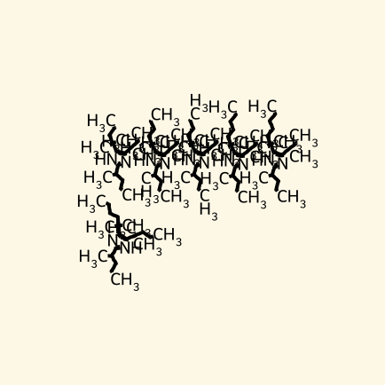 CCCC(C)c1nc(C(C)(C)CC)c(C(C)(C)CCC)[nH]1.CCCCC(C)(C)c1[nH]c(C(C)CCC)nc1C(C)(C)CC.CCCCC(C)(C)c1[nH]c(C(C)CCC)nc1C(C)(C)CC.CCCCC(C)(C)c1nc(C(C)CCC)[nH]c1C(C)(C)CCC.CCCCCC(C)(C)c1[nH]c(C(C)CCC)nc1C(C)(C)CC.CCCCCC(C)(C)c1[nH]c(C(C)CCC)nc1C(C)(C)CC